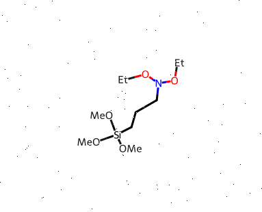 CCON(CCC[Si](OC)(OC)OC)OCC